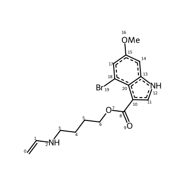 C=CNCCCCOC(=O)c1c[nH]c2cc(OC)cc(Br)c12